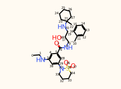 CCNc1cc(C(=O)N[C@@H](Cc2ccccc2)[C@H](O)CNC2(C)CCCCC2)cc(N2CCCCS2(=O)=O)c1